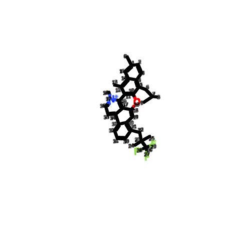 Cc1ccc2c(CC(C)C)c3c(c(C)c2c1)-c1c2c(cc4c(CC(C)(C)C(F)(F)F)cccc4c2cc[n+]1C)O3